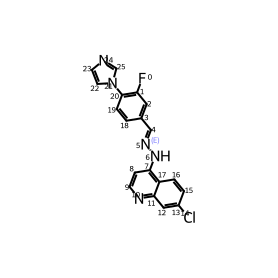 Fc1cc(/C=N/Nc2ccnc3cc(Cl)ccc23)ccc1-n1ccnc1